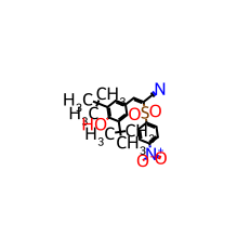 CC(C)(C)c1cc(C=C(C#N)S(=O)(=O)c2ccc([N+](=O)[O-])cc2)cc(C(C)(C)C)c1O